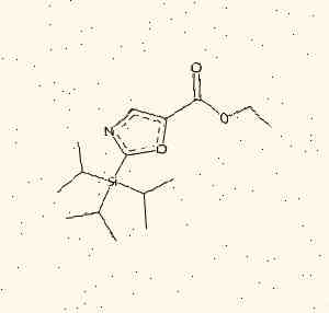 CCOC(=O)c1cnc([Si](C(C)C)(C(C)C)C(C)C)o1